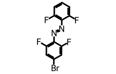 Fc1cccc(F)c1N=Nc1c(F)cc(Br)cc1F